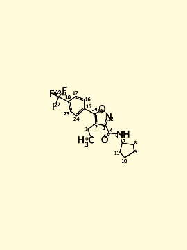 CCc1c(C(=O)NC2CCCC2)noc1-c1ccc(C(F)(F)F)cc1